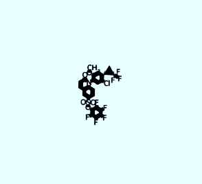 COc1cc([C@@H]2C[C@H]2C(F)(F)F)c(Cl)cc1-n1c(=O)ccc2cc(S(=O)(=O)Oc3c(F)c(F)c(F)c(F)c3F)ccc21